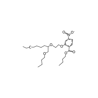 CCCCCCCC(COCCCC)OCCOc1cc([N+](=O)[O-])ccc1C(=O)OCCCC